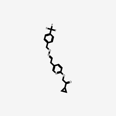 O=C(COc1ccc(CC=NOCc2ccc(C(F)(F)F)cc2)cn1)C1CC1